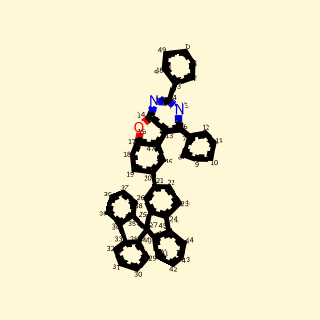 c1ccc(-c2nc(-c3ccccc3)c3c(n2)oc2ccc(-c4ccc5c(c4)C4(c6ccccc6-c6ccccc64)c4ccccc4-5)cc23)cc1